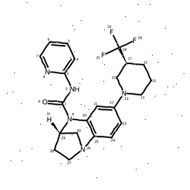 O=C(Nc1ccccn1)N1c2cc(N3CCC[C@H](C(F)(F)F)C3)ccc2N2CC[C@H]1C2